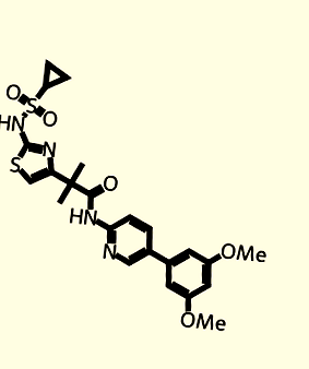 COc1cc(OC)cc(-c2ccc(NC(=O)C(C)(C)c3csc(NS(=O)(=O)C4CC4)n3)nc2)c1